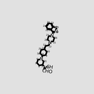 O=CN(S)C1CCCN(C2CCC(CCN3CCN(c4nsc5ccccc45)CC3)CC2)C1